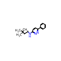 CC(C)(C)CCNc1ccc(-c2ccccc2)nn1